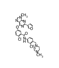 CN1CCN(Cc2ccc(NC(=O)c3cc(Oc4nc(-c5ccoc5)nc5c4ncn5C)ccc3Cl)cc2C(F)(F)F)CC1